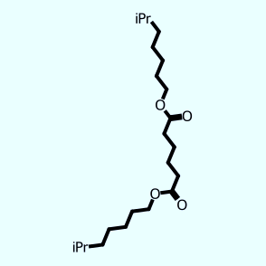 CC(C)CCCCCOC(=O)CCCCC(=O)OCCCCCC(C)C